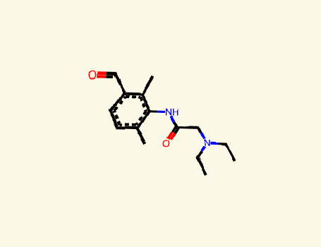 CCN(CC)CC(=O)Nc1c(C)ccc(C=O)c1C